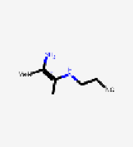 CN/C(N)=C(\C)NCCN=O